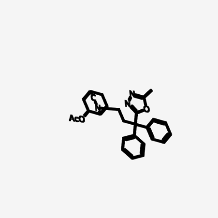 CC(=O)OC1CC2CCC1N(CCC(c1ccccc1)(c1ccccc1)c1nnc(C)o1)C2